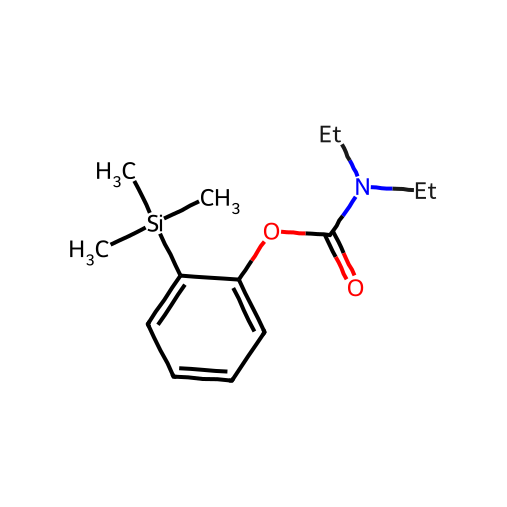 CCN(CC)C(=O)Oc1ccccc1[Si](C)(C)C